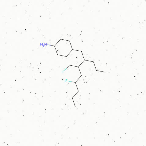 CCCC(F)CC(CF)C(CCC)CC1CCC(N)CC1